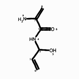 C=CC(O)NC(=O)C(=C)N